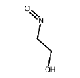 O=NCCO